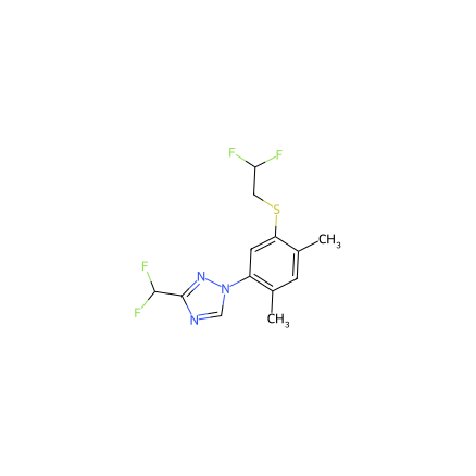 Cc1cc(C)c(-n2cnc(C(F)F)n2)cc1SCC(F)F